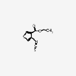 CCOC(=O)c1cscc1N=C=S